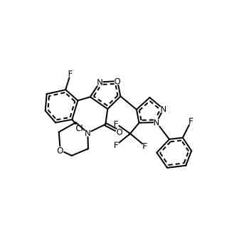 O=C(c1c(-c2c(F)cccc2Cl)noc1-c1cnn(-c2ccccc2F)c1C(F)(F)F)N1CCOCC1